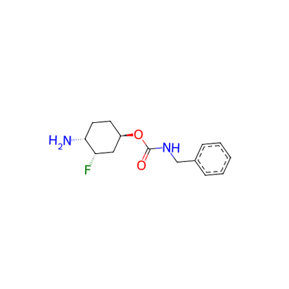 N[C@@H]1CC[C@@H](OC(=O)NCc2ccccc2)C[C@@H]1F